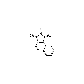 CN1C(=O)c2ccc3ccccc3c2C1=O